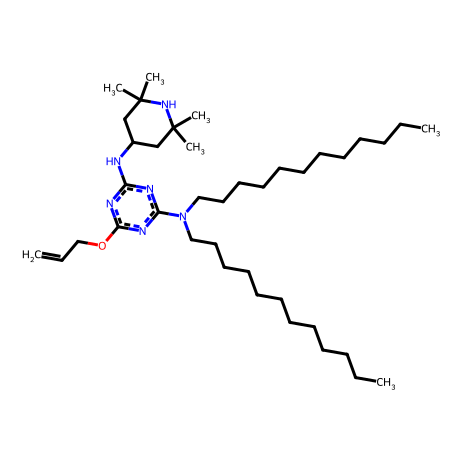 C=CCOc1nc(NC2CC(C)(C)NC(C)(C)C2)nc(N(CCCCCCCCCCCC)CCCCCCCCCCCC)n1